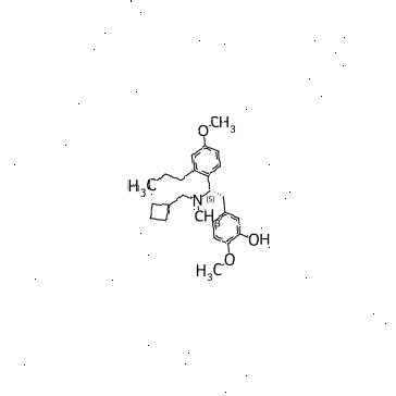 CCCc1cc(OC)ccc1[C@H](Cc1ccc(OC)c(O)c1)N(C)CC1CCC1